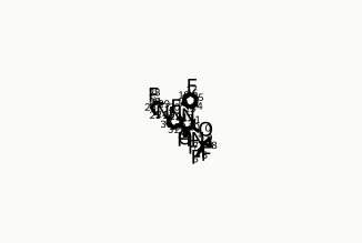 O=C(NC1(C(F)(F)F)CC1)c1cn(-c2ccc(F)cc2F)c2nc(N3CC[C@H](F)C3)ccc2c1=O